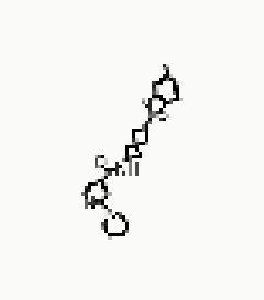 Cc1ccc2sc(C3CC4(CC(NC(=O)c5ccnc(N6CCCCC6)c5)C4)C3)nc2c1